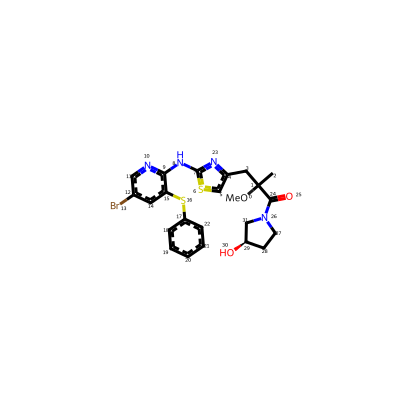 COC(C)(Cc1csc(Nc2ncc(Br)cc2Sc2ccccc2)n1)C(=O)N1CC[C@@H](O)C1